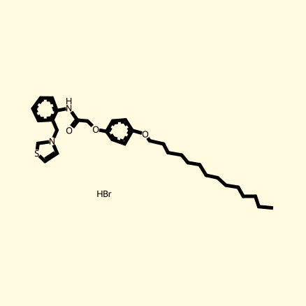 Br.CCCCCCCCCCCCCCOc1ccc(OCC(=O)Nc2ccccc2CN2C=CSC2)cc1